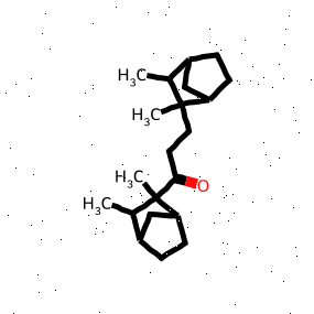 CC1C2CCC(C2)C1(C)CCC(=O)C1(C)C2CCC(C2)C1C